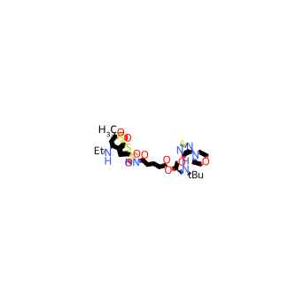 CCN[C@H]1C[C@H](C)S(=O)(=O)c2sc(S(=O)(=O)NC(=O)CCCC(=O)O[C@@H](CNC(C)(C)C)COc3nsnc3N3CCOCC3)cc21